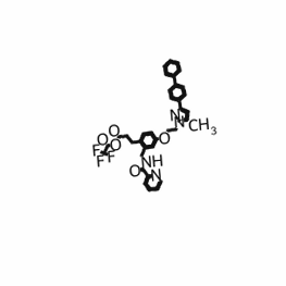 Cc1cc(-c2ccc(-c3ccccc3)cc2)nn1CCOc1ccc(CCC(=O)OC(=O)C(F)(F)F)c(CNC(=O)c2ccccn2)c1